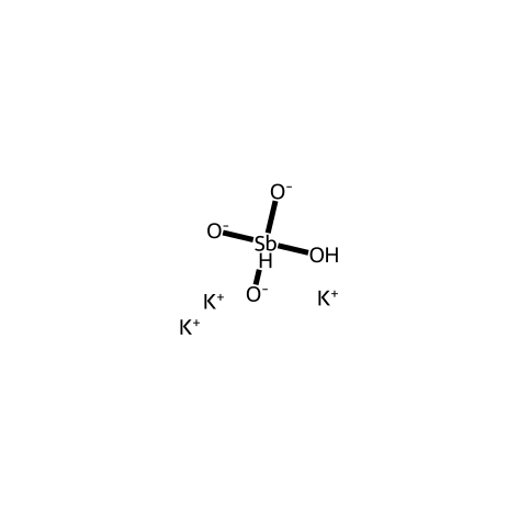 [K+].[K+].[K+].[O-][SbH]([O-])([O-])[OH]